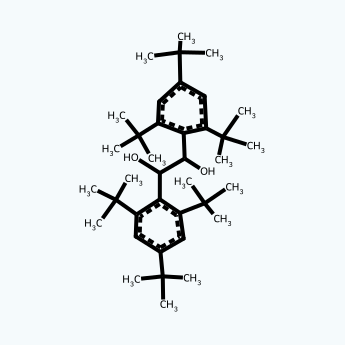 CC(C)(C)c1cc(C(C)(C)C)c(C(O)C(O)c2c(C(C)(C)C)cc(C(C)(C)C)cc2C(C)(C)C)c(C(C)(C)C)c1